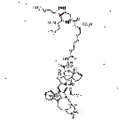 CC[C@]1(O)C[C@H]2CN(CCc3c([nH]c4ccccc34)[C@@](C(=O)OC)(c3cc4c(cc3OC)N(C)[C@H]3[C@@](O)(C(=O)NNC(=O)OCCSSC[C@H](NC(=O)[C@H](Cc5cn(CCOS(=O)(=O)O)nn5)NC(=O)[C@H](CC(=O)O)NC)C(=O)O)[C@H](O)[C@]5(CC)C=CCN6CC[C@]43[C@@H]65)C2)C1